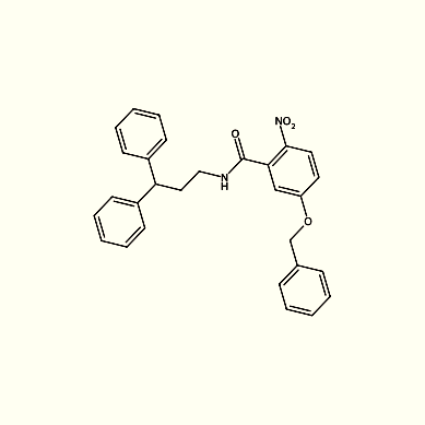 O=C(NCCC(c1ccccc1)c1ccccc1)c1cc(OCc2ccccc2)ccc1[N+](=O)[O-]